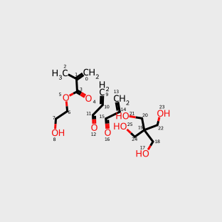 C=C(C)C(=O)OCCO.C=CC=O.C=CC=O.OCC(CO)(CO)CO